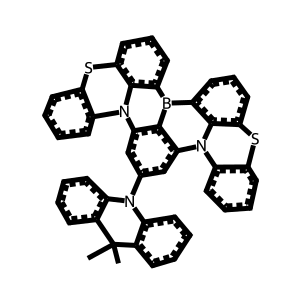 CC1(C)c2ccccc2N(c2cc3c4c(c2)N2c5ccccc5Sc5cccc(c52)B4c2cccc4c2N3c2ccccc2S4)c2ccccc21